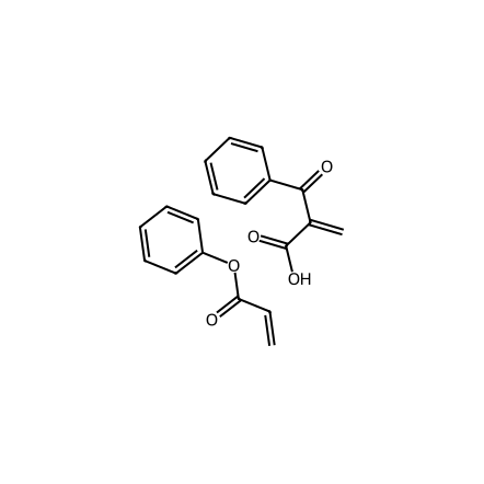 C=C(C(=O)O)C(=O)c1ccccc1.C=CC(=O)Oc1ccccc1